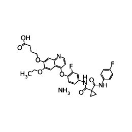 CCOc1cc2c(Oc3ccc(NC(=O)C4(C(=O)Nc5ccc(F)cc5)CC4)cc3F)ccnc2cc1OCCCC(=O)O.N